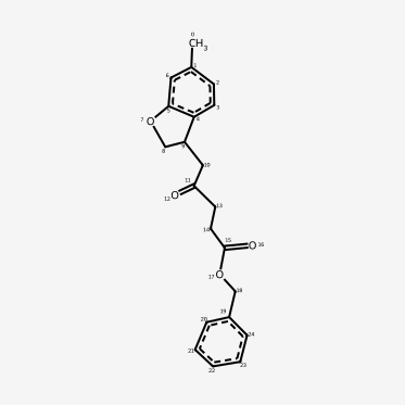 Cc1ccc2c(c1)OCC2CC(=O)CCC(=O)OCc1ccccc1